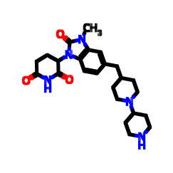 Cn1c(=O)n(C2CCC(=O)NC2=O)c2ccc(CC3CCN(C4CCNCC4)CC3)cc21